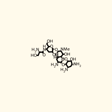 CNC1C(O[C@H]2OC(CO)[C@@H](NC(=O)[C@@H](N)CO)CC2O)O[C@H]2CC(N)[C@@H](O[C@@H]3C(N)C[C@@H](N)C(O)[C@H]3O)OC2C1O